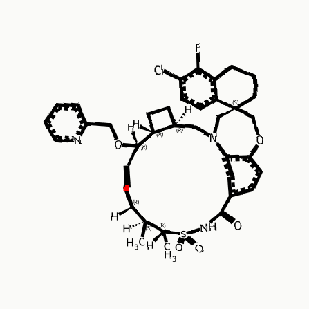 C[C@@H]1[C@@H](C)S(=O)(=O)NC(=O)c2ccc3c(c2)N(C[C@@H]2CC[C@H]2[C@@H](OCc2ccccn2)C2=C[C@H]1C2)C[C@@]1(CCCc2c1ccc(Cl)c2F)CO3